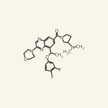 CC(Oc1ccc(F)c(F)c1)c1cc(C(=O)N2CCC(N(C)C)C2)cc2ncc(N3CCOCC3)nc12